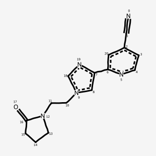 N#Cc1ccnc(-c2cn(CCN3CCCC3=O)cn2)c1